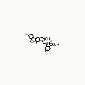 Cc1cc(F)ccc1-c1ccc2c(c1)CN(C)[C@H]2CNc1cnccc1C(=O)O